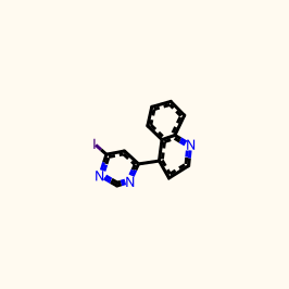 Ic1cc(-c2ccnc3ccccc23)ncn1